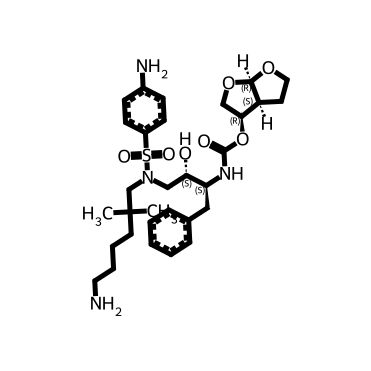 CC(C)(CCCCN)CN(C[C@H](O)[C@H](Cc1ccccc1)NC(=O)O[C@H]1CO[C@H]2OCC[C@H]21)S(=O)(=O)c1ccc(N)cc1